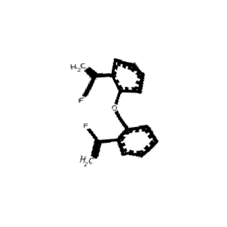 C=C(F)c1ccccc1Oc1ccccc1C(=C)F